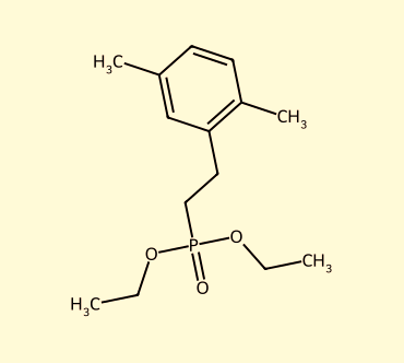 CCOP(=O)(CCc1cc(C)ccc1C)OCC